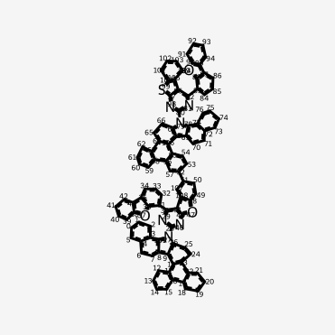 c1ccc2c(c1)ccc1c3c4c5ccccc5c5ccccc5c4ccc3n(-c3nc(-c4cccc5c4oc4ccccc45)c4c(n3)oc3ccc(-c5ccc6c(c5)c5ccccc5c5ccc7c(c8ccc9ccccc9c8n7-c7nc(-c8cccc9c8oc8ccccc89)c8c(n7)sc7ccccc78)c56)cc34)c21